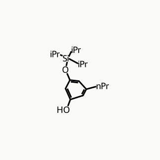 CCCc1cc(O)cc(O[Si](C(C)C)(C(C)C)C(C)C)c1